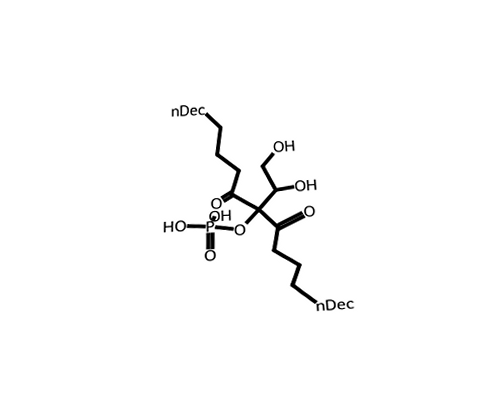 CCCCCCCCCCCCCC(=O)C(OP(=O)(O)O)(C(=O)CCCCCCCCCCCCC)C(O)CO